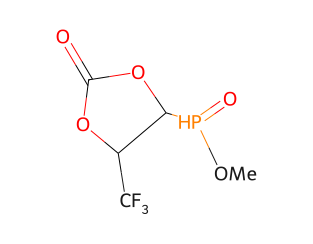 CO[PH](=O)C1OC(=O)OC1C(F)(F)F